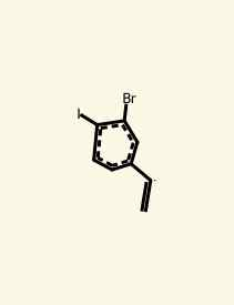 C=[C]c1ccc(I)c(Br)c1